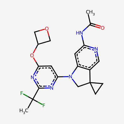 CC(=O)Nc1cc2c(cn1)C1(CC1)CN2c1cc(OC2COC2)nc(C(C)(F)F)n1